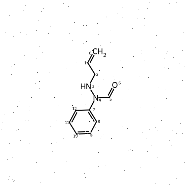 C=CCNN(C=O)c1ccccc1